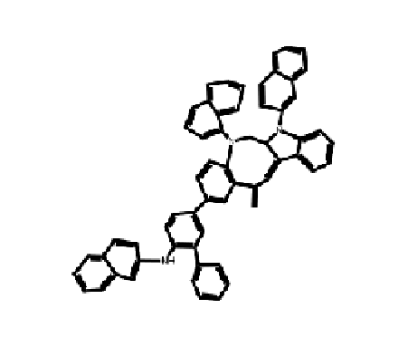 C=C1/C=C2/c3ccccc3N(c3ccc4ccccc4c3)C2CN(c2cccc3ccccc23)c2ccc(-c3ccc(Nc4ccc5ccccc5c4)c(-c4ccccc4)c3)cc21